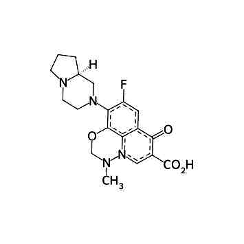 CN1COc2c(N3CCN4CCC[C@H]4C3)c(F)cc3c(=O)c(C(=O)O)cn1c23